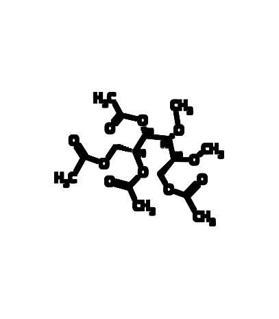 CO[C@@H]([C@@H](OC(C)=O)[C@@H](COC(C)=O)OC(C)=O)[C@H](COC(C)=O)OC